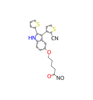 N#Cc1sccc1-c1c(-c2cccs2)[nH]c2ccc(OCCCCC(=O)N=O)cc12